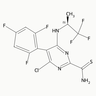 C[C@H](Nc1nc(C(N)=S)nc(Cl)c1-c1c(F)cc(F)cc1F)C(F)(F)F